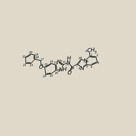 Cc1cccc2nc(C(=O)Nc3nc4cc(OCc5ccccc5)ccc4[nH]3)cn12